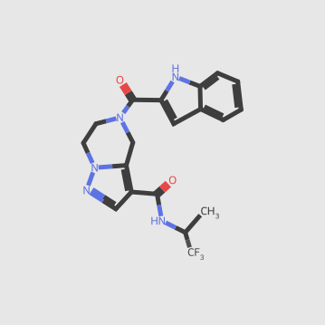 CC(NC(=O)c1cnn2c1CN(C(=O)c1cc3ccccc3[nH]1)CC2)C(F)(F)F